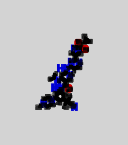 CC(C)Nc1cc(Nc2ccnc(-c3cnn(S(=O)(=O)C4CC4)c3)n2)ncc1C(=O)Nc1cc(N2CCN(C)CC2)cc(C(C)(C)C#N)c1